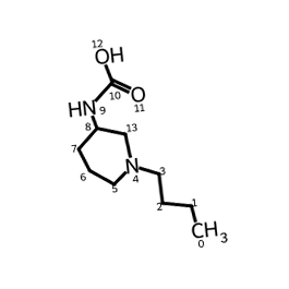 CCCCN1CCCC(NC(=O)O)C1